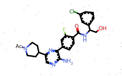 CC(=O)N1CCC(c2cnc(N)c(-c3ccc(C(=O)NC(CO)c4cccc(Cl)c4)c(F)c3)n2)CC1